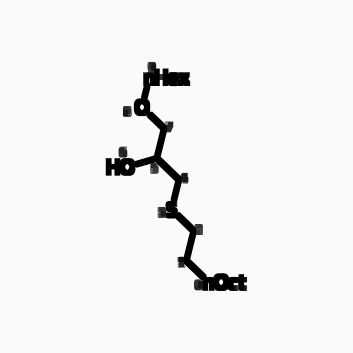 CCCCCCCCCCSCC(O)COCCCCCC